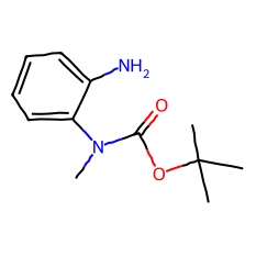 CN(C(=O)OC(C)(C)C)c1ccccc1N